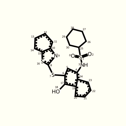 O=S(=O)(Nc1cc(Sc2nc3ccccc3s2)c(O)c2ccccc12)C1CCCCC1